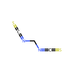 S=C=NCN=C=S